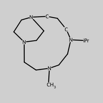 CC(C)N1CCCN2CCN(CCN(C)CC1)CC2